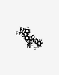 CCN(CC)C(=O)c1ccccc1-c1ccc2nc(N)nc(C(=O)N3Cc4ccccc4C3)c2c1